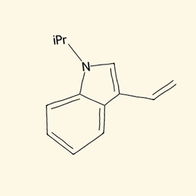 C=Cc1cn(C(C)C)c2ccccc12